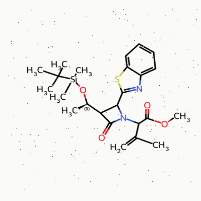 C=C(C)C(C(=O)OC)N1C(=O)C([C@@H](C)O[Si](C)(C)C(C)(C)C)C1c1nc2ccccc2s1